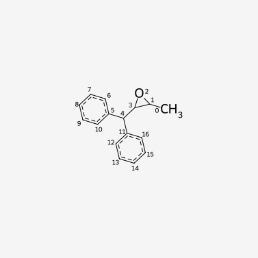 CC1OC1C(c1ccccc1)c1ccccc1